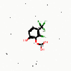 OB(O)Oc1c(O)ccc(C(F)(F)F)c1F